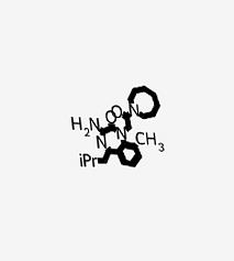 Cc1cccc2c1N(CC(=O)N1CCCCCCC1)C(=O)C(N)N=C2CC(C)C